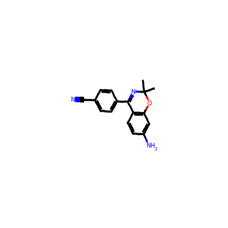 CC1(C)N=C(c2ccc(C#N)cc2)c2ccc(N)cc2O1